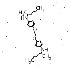 CCCCC(C)Nc1ccc(OCCOc2ccc(NC(C)CCCC)cc2)cc1